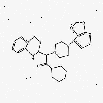 O=C(C1CCCCC1)C(C1CCc2ccccc2N1)N1CCN(c2cccc3c2OCO3)CC1